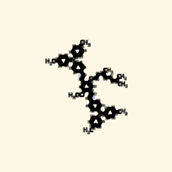 COc1cc(/C=C/c2ccc(N(c3ccc(C)cc3)c3ccc(C)cc3)cc2)c(OCCC(C)CCCC(C)C)cc1/C=C/c1ccc(N(c2ccc(C)cc2)c2ccc(C)cc2)cc1